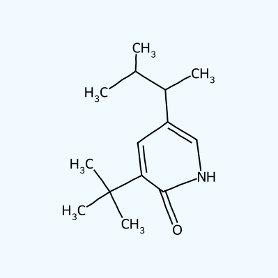 CC(C)C(C)c1c[nH]c(=O)c(C(C)(C)C)c1